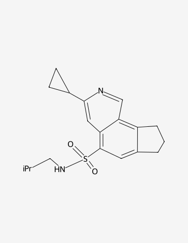 CC(C)CNS(=O)(=O)c1cc2c(c3cnc(C4CC4)cc13)CCC2